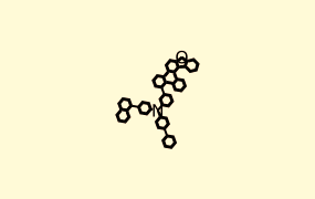 c1ccc(-c2ccc(N(c3ccc(-c4cccc5ccccc45)cc3)c3cccc(-c4cccc5c6ccc7oc8ccccc8c7c6c6ccccc6c45)c3)cc2)cc1